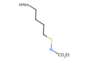 CCCCCCCCCCS[N]C(=O)OCC